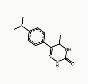 CC1NC(=O)NN=C1c1ccc(N(C)C)cc1